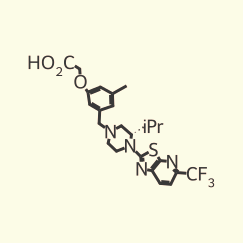 Cc1cc(CN2CCN(c3nc4ccc(C(F)(F)F)nc4s3)[C@@H](C(C)C)C2)cc(OCC(=O)O)c1